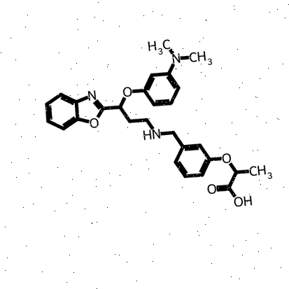 CC(Oc1cccc(CNCCC(Oc2cccc(N(C)C)c2)c2nc3ccccc3o2)c1)C(=O)O